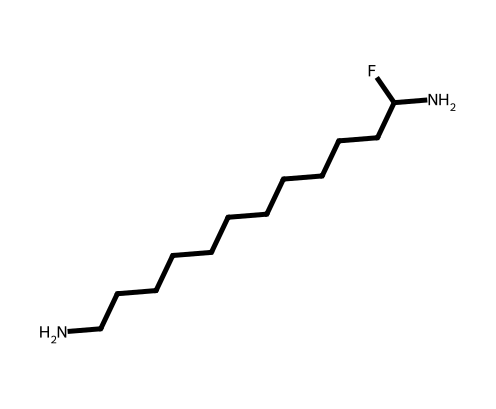 NCCCCCCCCCCCC(N)F